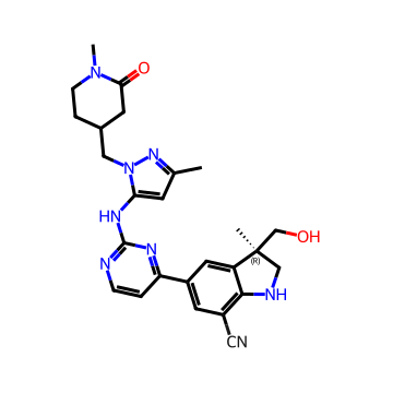 Cc1cc(Nc2nccc(-c3cc(C#N)c4c(c3)[C@@](C)(CO)CN4)n2)n(CC2CCN(C)C(=O)C2)n1